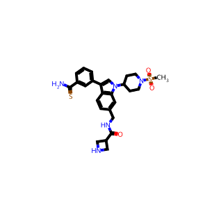 CS(=O)(=O)N1CCC(n2cc(-c3cccc(C(N)=S)c3)c3ccc(CNC(=O)C4CNC4)cc32)CC1